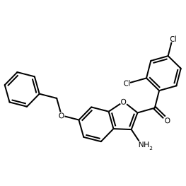 Nc1c(C(=O)c2ccc(Cl)cc2Cl)oc2cc(OCc3ccccc3)ccc12